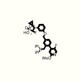 COc1cc(-c2ccc(COc3cccc([C@H](C4CC4)[C@@](C)(F)P(=O)(O)O)c3)cc2CN(C(C)C)C(C)C)c(F)cn1